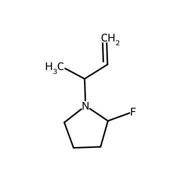 C=CC(C)N1CCCC1F